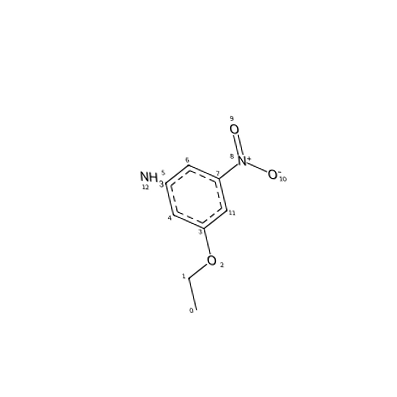 CCOc1cccc([N+](=O)[O-])c1.N